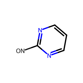 O=Nc1ncccn1